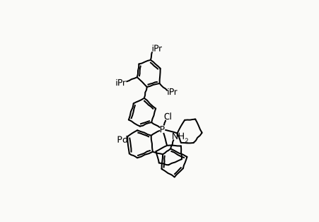 CC(C)c1cc(C(C)C)c(-c2cccc(P(Cl)(c3ccccc3-c3ccccc3N)(C3CCCCC3)C3CCCCC3)c2)c(C(C)C)c1.[Pd]